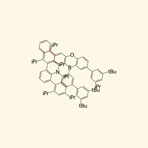 CC(C)c1cc(-c2ccc3c(c2)B2c4cc(-c5cc(C(C)(C)C)cc(C(C)(C)C)c5)ccc4N(c4c(-c5c(C(C)C)cc(C(C)C)cc5C(C)C)cccc4-c4c(C(C)C)cc(C(C)C)cc4C(C)C)c4cc(-c5ccccc5)cc(c42)O3)cc(C(C)(C)C)c1